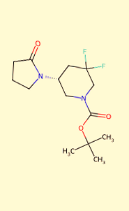 CC(C)(C)OC(=O)N1C[C@H](N2CCCC2=O)CC(F)(F)C1